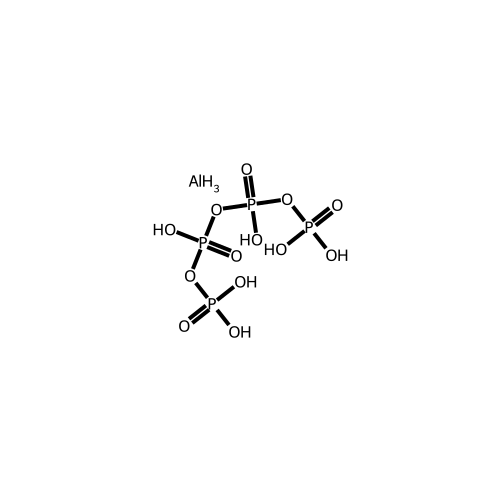 O=P(O)(O)OP(=O)(O)OP(=O)(O)OP(=O)(O)O.[AlH3]